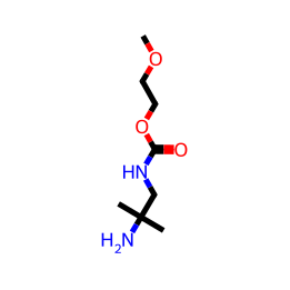 COCCOC(=O)NCC(C)(C)N